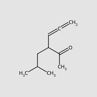 C=C=CC(CC(C)C)C(C)=O